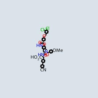 COc1ccc(C(=O)N2Cc3cc4c(cc3C[C@H]2C(=O)NC(Cc2ccc(-c3ccc(C#N)cc3)cc2)C(=O)O)NC(=O)[C@H](c2ccc(OCc3ccc(Cl)c(Cl)c3)cc2)O4)cc1